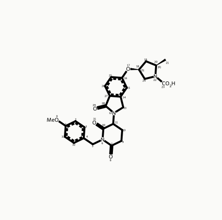 COc1ccc(CN2C(=O)CCC(N3Cc4cc(O[C@H]5C[C@@H](C)N(C(=O)O)C5)ccc4C3=O)C2=O)cc1